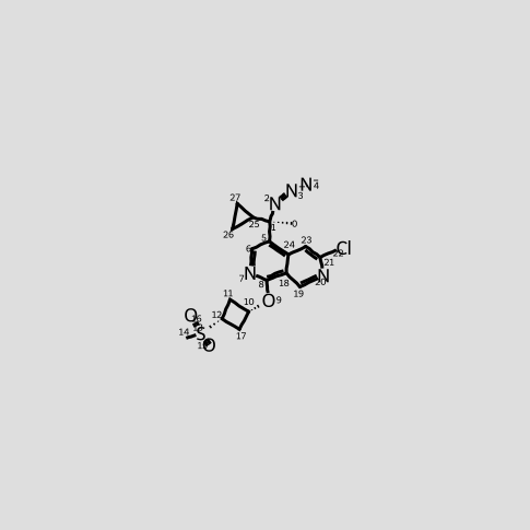 C[C@](N=[N+]=[N-])(c1cnc(O[C@H]2C[C@@H](S(C)(=O)=O)C2)c2cnc(Cl)cc12)C1CC1